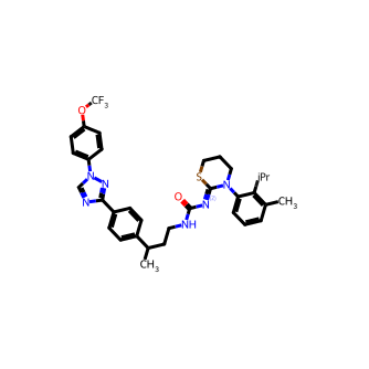 Cc1cccc(N2CCCS/C2=N\C(=O)NCCC(C)c2ccc(-c3ncn(-c4ccc(OC(F)(F)F)cc4)n3)cc2)c1C(C)C